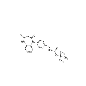 CC(C)(C)OC(=O)NCc1ccc(N2C(=O)CC(=O)Nc3ccccc32)cc1